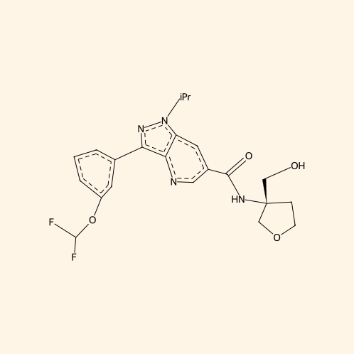 CC(C)n1nc(-c2cccc(OC(F)F)c2)c2ncc(C(=O)N[C@]3(CO)CCOC3)cc21